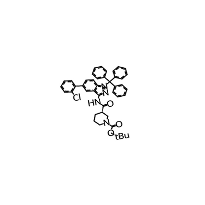 CC(C)(C)OC(=O)N1CCC[C@@H](C(=O)Nc2nn(C(c3ccccc3)(c3ccccc3)c3ccccc3)c3ccc(-c4ccccc4Cl)cc23)C1